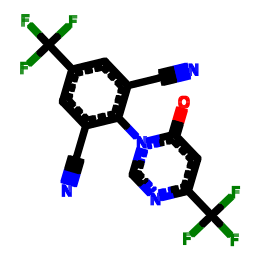 N#Cc1cc(C(F)(F)F)cc(C#N)c1-n1cnc(C(F)(F)F)cc1=O